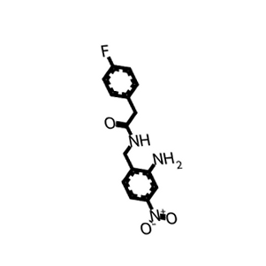 Nc1cc([N+](=O)[O-])ccc1CNC(=O)Cc1ccc(F)cc1